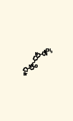 Cn1cc(-c2cnc3ccc(CCn4nc(-c5cccc(Br)c5)ccc4=O)cc3c2)cn1